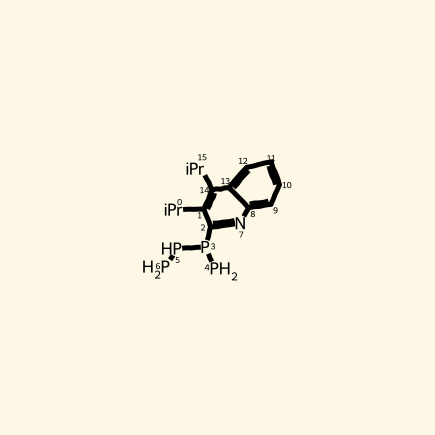 CC(C)c1c(P(P)PP)nc2ccccc2c1C(C)C